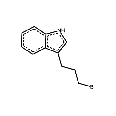 BrCCCc1c[nH]c2ccccc12